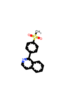 CS(=O)(=O)c1ccc(-c2nccc3ccccc23)cc1